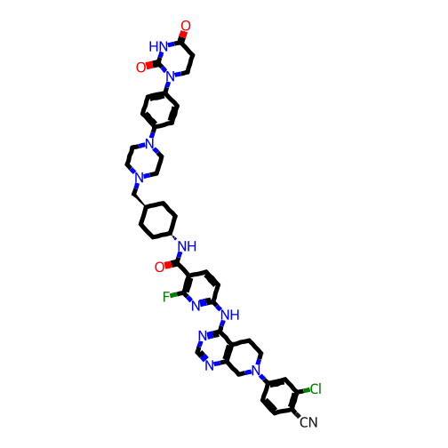 N#Cc1ccc(N2CCc3c(ncnc3Nc3ccc(C(=O)N[C@H]4CC[C@H](CN5CCN(c6ccc(N7CCC(=O)NC7=O)cc6)CC5)CC4)c(F)n3)C2)cc1Cl